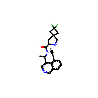 C#Cc1cccc2cncc(C(C#N)NC(=O)C3CC4(CN3)CC(F)(F)C4)c12